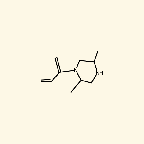 C=CC(=C)N1CC(C)NCC1C